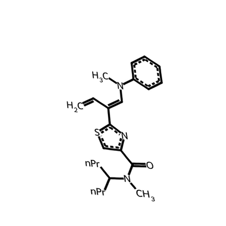 C=C/C(=C\N(C)c1ccccc1)c1nc(C(=O)N(C)C(CCC)CCC)cs1